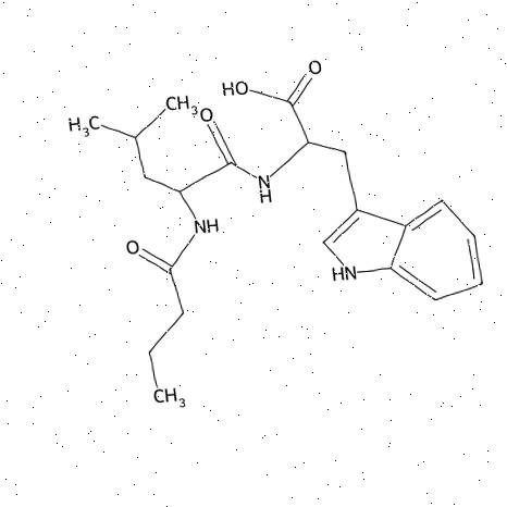 CCCC(=O)NC(CC(C)C)C(=O)NC(Cc1c[nH]c2ccccc12)C(=O)O